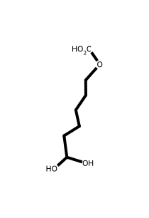 O=C(O)OCCCCCC(O)O